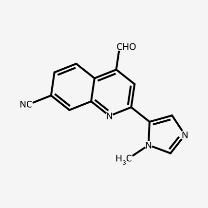 Cn1cncc1-c1cc(C=O)c2ccc(C#N)cc2n1